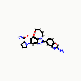 NC(=O)[C@@H]1CCCN1c1cc2c3c(c1)nc(-c1ccc4oc(N)nc4c1)n3CCCCO2